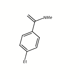 C=C(NC)c1ccc(CC)cc1